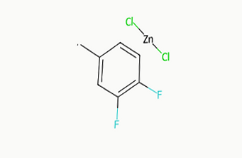 [CH2]c1ccc(F)c(F)c1.[Cl][Zn][Cl]